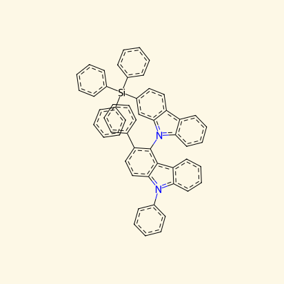 c1ccc(-c2ccc3c(c2-n2c4ccccc4c4ccc([Si](c5ccccc5)(c5ccccc5)c5ccccc5)cc42)c2ccccc2n3-c2ccccc2)cc1